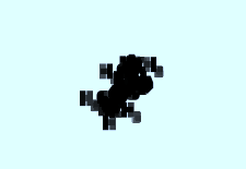 Cc1n[nH]c(C)c1-c1ccc(NC(=O)[C@@H](NC(=O)c2c(C)ncn2C)C2CCCCC2)cc1